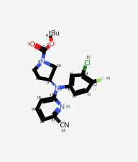 CC(C)(C)OC(=O)N1CC[C@H](N(c2ccc(F)c(Cl)c2)c2cccc(C#N)n2)C1